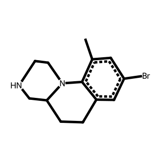 Cc1cc(Br)cc2c1N1CCNCC1CC2